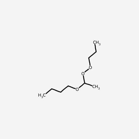 CCCCOC(C)OOCCC